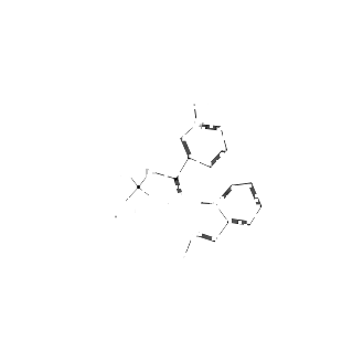 C[n+]1cccc(C(=O)NC(C)(C)C)c1.C[n+]1ccccc1C=NO.O.[I-].[I-]